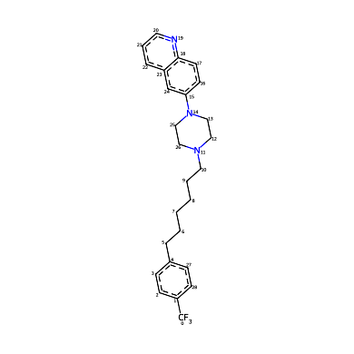 FC(F)(F)c1ccc(CCCCCCN2CCN(c3ccc4ncccc4c3)CC2)cc1